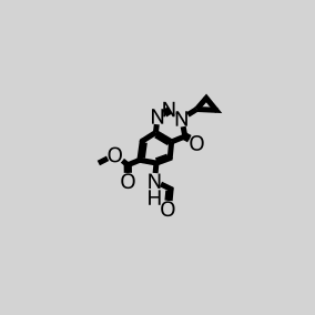 COC(=O)c1cc2nnn(C3CC3)c(=O)c2cc1NC=O